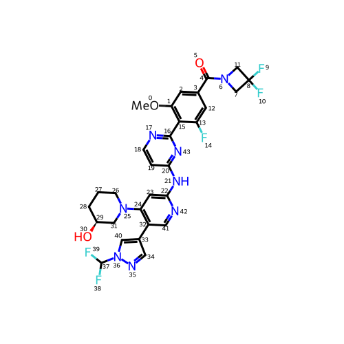 COc1cc(C(=O)N2CC(F)(F)C2)cc(F)c1-c1nccc(Nc2cc(N3CCC[C@H](O)C3)c(-c3cnn(C(F)F)c3)cn2)n1